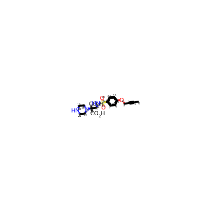 CC#CCOc1ccc(S(=O)(=O)NCC(C(=O)O)(C(=O)O)N2CCNCC2)cc1